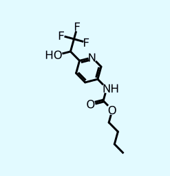 CCCCOC(=O)Nc1ccc(C(O)C(F)(F)F)nc1